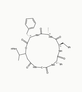 CCCCCCC(C)C1CC(=O)NCC(=O)N[C@@H](C(C)C)C(=O)N[C@H](CC(C)C)C(=O)N[C@@H](C)C(=O)N[C@@H](Cc2ccccc2)C(=O)O1